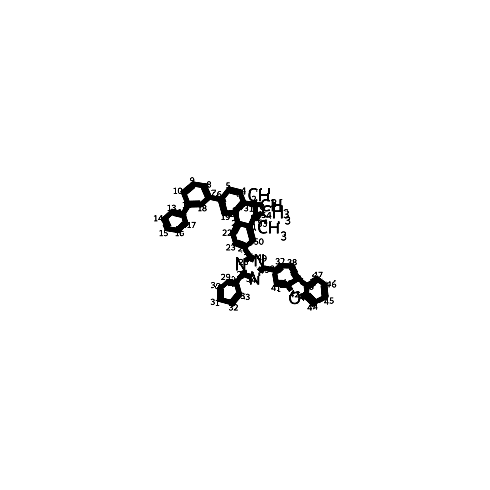 CC1(C)c2ccc(-c3cccc(-c4ccccc4)c3)cc2-c2ccc(-c3nc(-c4ccccc4)nc(-c4ccc5c(c4)oc4ccccc45)n3)cc2C1(C)C